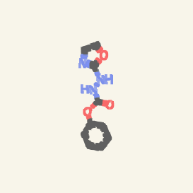 O=C(NNc1ncco1)Oc1ccccc1